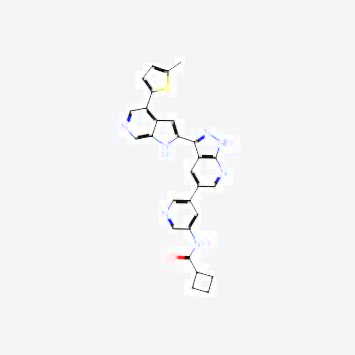 Cc1ccc(-c2cncc3[nH]c(-c4n[nH]c5ncc(-c6cncc(NC(=O)C7CCC7)c6)cc45)cc23)s1